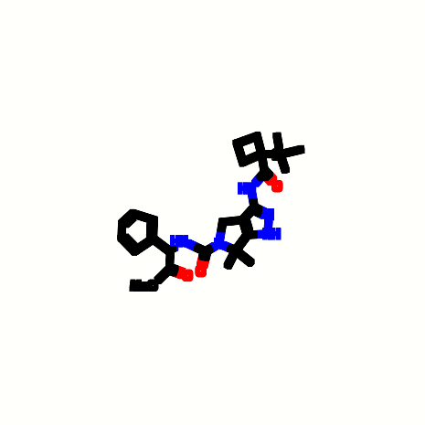 COC(=O)[C@@H](NC(=O)N1Cc2c(NC(=O)C3([Si](C)(C)C)CCC3)n[nH]c2C1(C)C)c1ccccc1